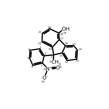 CC1(c2ccccc2[N+](=O)[O-])c2ccccc2-c2c(O)cccc21